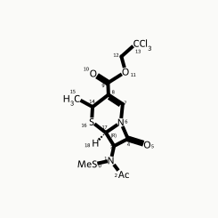 CSN(C(C)=O)C1C(=O)N2C=C(C(=O)OCC(Cl)(Cl)Cl)C(C)S[C@H]12